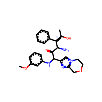 COc1cccc(NC(C(=O)C(N)/C(=C(/C)O)c2ccccc2)c2cn3c(n2)COCC3)c1